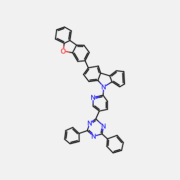 c1ccc(-c2nc(-c3ccccc3)nc(-c3ccc(-n4c5ccccc5c5cc(-c6ccc7c(c6)oc6ccccc67)ccc54)nc3)n2)cc1